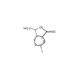 Cc1ccc2c(c1)C(=O)OC2C(=O)O